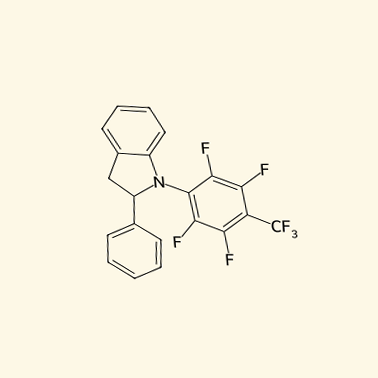 Fc1c(F)c(C(F)(F)F)c(F)c(F)c1N1c2ccccc2CC1c1ccccc1